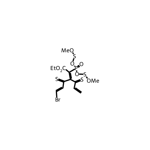 C=CC(=S)C(C(=S)C=CBr)=C(C(=O)OCC)P(=O)(OSOC)OSOC